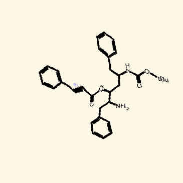 CC(C)(C)OC(=O)NC(Cc1ccccc1)CC(OC(=O)/C=C/c1ccccc1)C(N)Cc1ccccc1